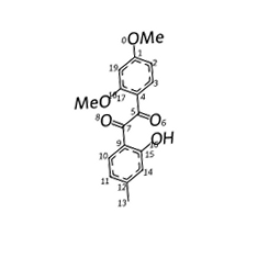 COc1ccc(C(=O)C(=O)c2ccc(C)cc2O)c(OC)c1